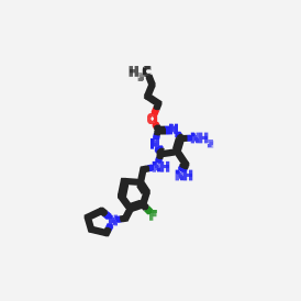 CCCCOc1nc(N)c(C=N)c(NCc2ccc(CN3CCCC3)c(F)c2)n1